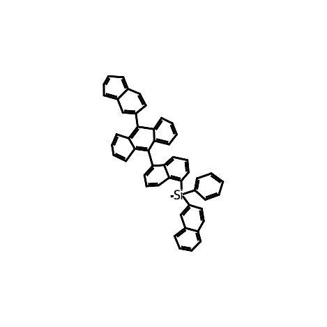 C[Si](c1ccccc1)(c1ccc2ccccc2c1)c1cccc2c(-c3c4ccccc4c(-c4ccc5ccccc5c4)c4ccccc34)cccc12